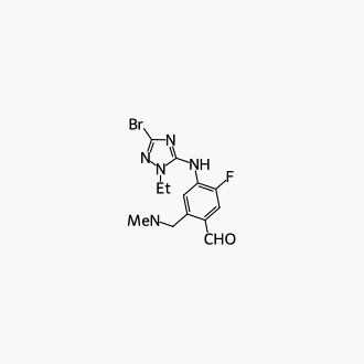 CCn1nc(Br)nc1Nc1cc(CNC)c(C=O)cc1F